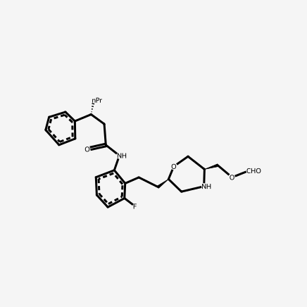 CCC[C@H](CC(=O)Nc1cccc(F)c1CC[C@@H]1CN[C@H](COC=O)CO1)c1ccccc1